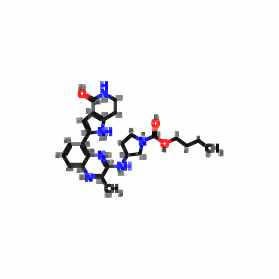 CCCCOC(=O)N1CCC(Nc2nc3c(-c4cc5c([nH]4)CCNC5=O)cccc3nc2C)C1